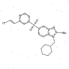 CC(C)(C)c1nc2cc(S(=O)(=O)c3ccnc(/C=C/Cl)c3)ccc2n1CC1CCCCC1